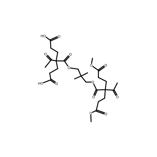 COC(=O)CCC(CCC(=O)OC)(C(C)=O)C(=O)OCC(C)(C)COC(=O)C(CCC(=O)O)(CCC(=O)O)C(C)=O